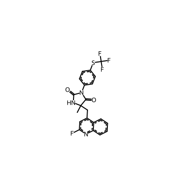 CC1(Cc2cc(F)nc3ccccc23)NC(=O)N(c2ccc(SC(F)(F)F)cc2)C1=O